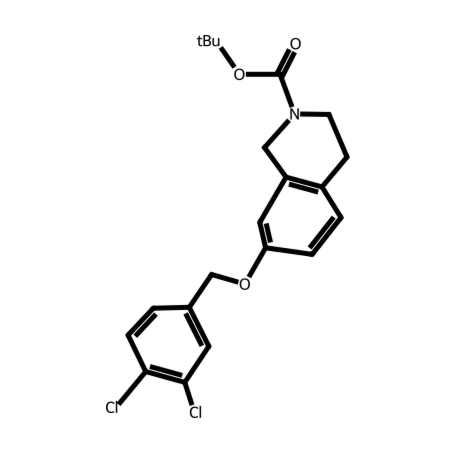 CC(C)(C)OC(=O)N1CCc2ccc(OCc3ccc(Cl)c(Cl)c3)cc2C1